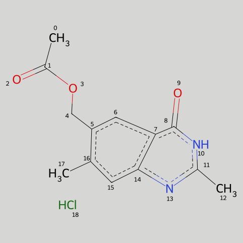 CC(=O)OCc1cc2c(=O)[nH]c(C)nc2cc1C.Cl